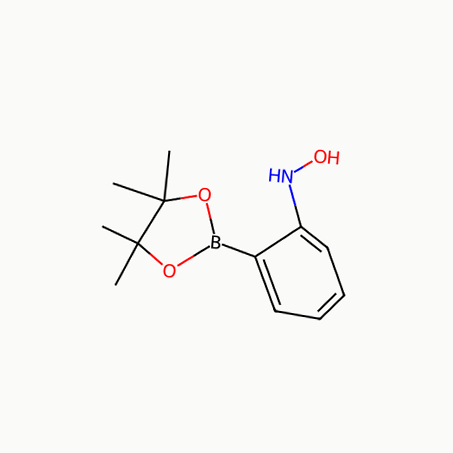 CC1(C)OB(c2ccccc2NO)OC1(C)C